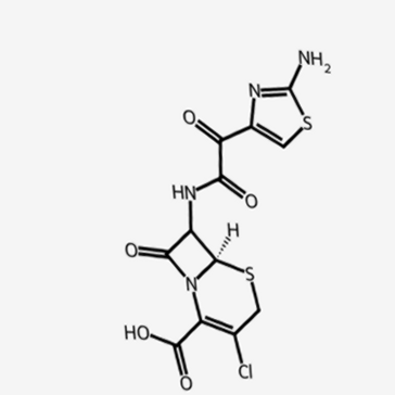 Nc1nc(C(=O)C(=O)NC2C(=O)N3C(C(=O)O)=C(Cl)CS[C@H]23)cs1